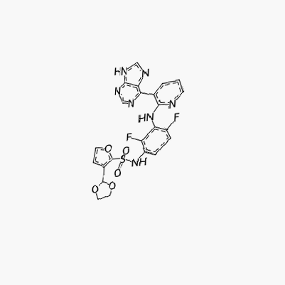 O=S(=O)(Nc1ccc(F)c(Nc2ncccc2-c2ncnc3[nH]cnc23)c1F)c1occc1C1OCCO1